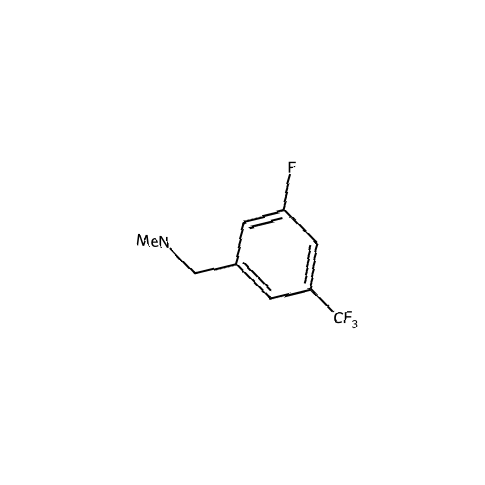 CNCc1cc(F)cc(C(F)(F)F)c1